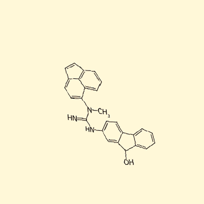 CN(C(=N)Nc1ccc2c(c1)C(O)c1ccccc1-2)c1ccc2c3c(cccc13)C=C2